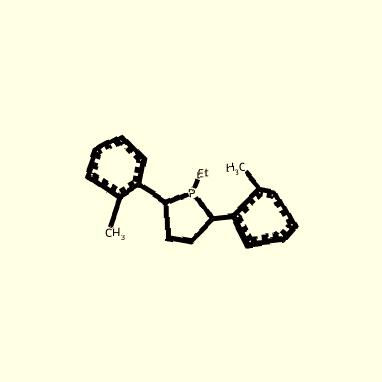 CCP1C(c2ccccc2C)CCC1c1ccccc1C